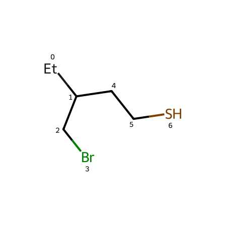 CCC(CBr)CCS